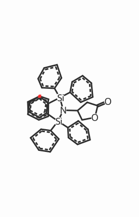 O=C1CC(N([Si](c2ccccc2)(c2ccccc2)c2ccccc2)[Si](c2ccccc2)(c2ccccc2)c2ccccc2)CO1